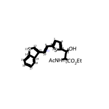 CCOC(=O)C(NC(C)=O)C(O)c1ccc(/C=C/c2csc3ccccc23)s1